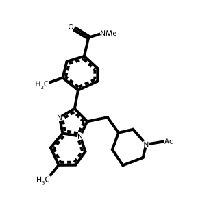 CNC(=O)c1ccc(-c2nc3cc(C)ccn3c2CC2CCCN(C(C)=O)C2)c(C)c1